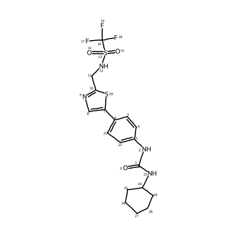 O=C(Nc1ccc(-c2cnc(CNS(=O)(=O)C(F)(F)F)s2)cc1)NC1CCCCC1